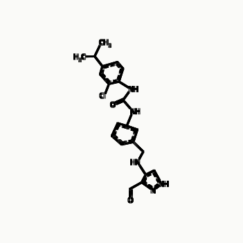 CC(C)c1ccc(NC(=O)Nc2cccc(CNc3c[nH]nc3C=O)c2)c(Cl)c1